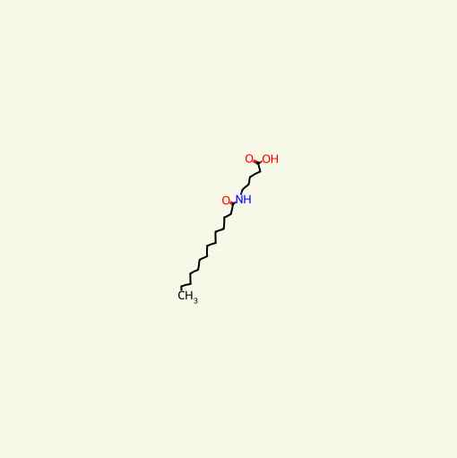 CCCCCCCCCCCCCC(=O)NCCCCC(=O)O